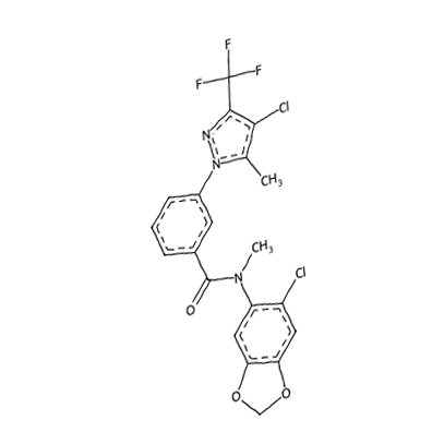 Cc1c(Cl)c(C(F)(F)F)nn1-c1cccc(C(=O)N(C)c2cc3c(cc2Cl)OCO3)c1